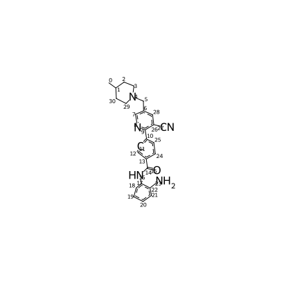 CC1CCN(Cc2cnc(-c3ccc(C(=O)Nc4ccccc4N)cc3)c(C#N)c2)CC1